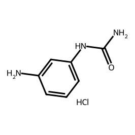 Cl.NC(=O)Nc1cccc(N)c1